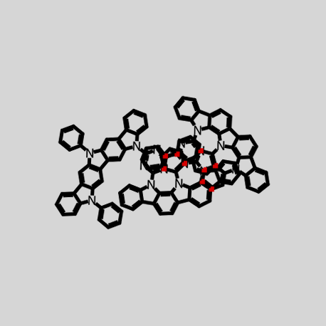 C1=CCCC(n2c3c(ccc4c5ccccc5n(-c5ccccc5)c43)c3ccc4c5ccccc5n(-c5nc(-c6ccccc6)nc(-n6c7ccccc7c7ccc8c9ccc%10c%11ccccc%11n(-c%11nc(-c%12ccccc%12)nc(-n%12c%13ccccc%13c%13cc%14c(cc%13%12)c%12cc%13c(cc%12n%14-c%12ccccc%12)c%12ccccc%12n%13-c%12ccccc%12)n%11)c%10c9n(-c9ccccc9)c8c76)n5)c4c32)=C1